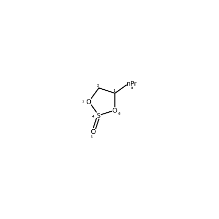 CCCC1COS(=O)O1